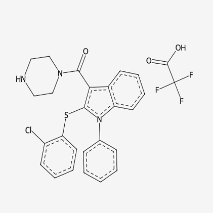 O=C(O)C(F)(F)F.O=C(c1c(Sc2ccccc2Cl)n(-c2ccccc2)c2ccccc12)N1CCNCC1